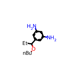 CCCCOC(CC)c1cc(N)cc(N)c1